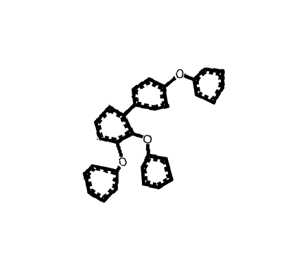 [c]1ccc(-c2ccc(Oc3ccccc3)cc2)c(Oc2ccccc2)c1Oc1ccccc1